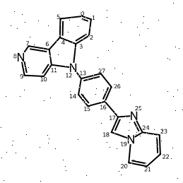 c1ccc2c(c1)c1cnccc1n2-c1ccc(-c2cn3ccccc3n2)cc1